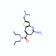 CCCN(CCC)C(=O)C1=Cc2sc(CN(C)C)cc2N=C(N)C1